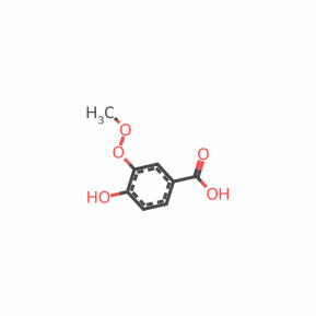 COOc1cc(C(=O)O)ccc1O